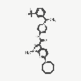 CC(c1cccc(C(F)(F)F)c1)N1CCC(NC(=O)c2nn(C)c3nc(N4CCCCCCC4)ccc23)CC1